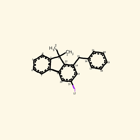 CC1(C)c2ccccc2-c2cc(I)cc(Cc3ccccc3)c21